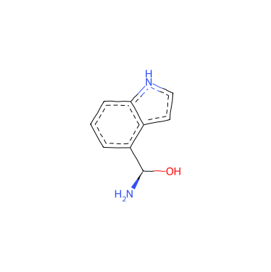 N[C@H](O)c1cccc2[nH]ccc12